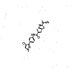 CCCN(C)c1nc2sc(C(=O)Nc3ccc(-c4nn(C)cc4Cl)cc3)cc2s1